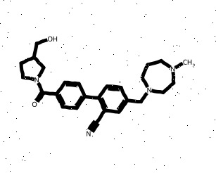 CN1CCCN(Cc2ccc(-c3ccc(C(=O)N4CCC(CO)C4)cc3)c(C#N)c2)CC1